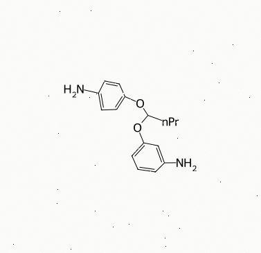 CCCC(Oc1ccc(N)cc1)Oc1cccc(N)c1